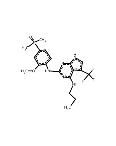 CCCNc1nc(Nc2ccc(P(C)(C)=O)cc2OC)nc2[nH]cc(C(F)(F)F)c12